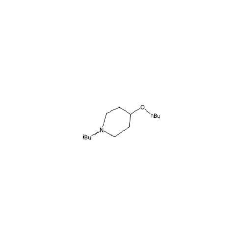 CCCCOC1CCN(C(C)CC)CC1